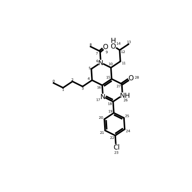 CCCCC1CN(C(C)=O)C(CC(C)O)c2c1nc(-c1ccc(Cl)cc1)[nH]c2=O